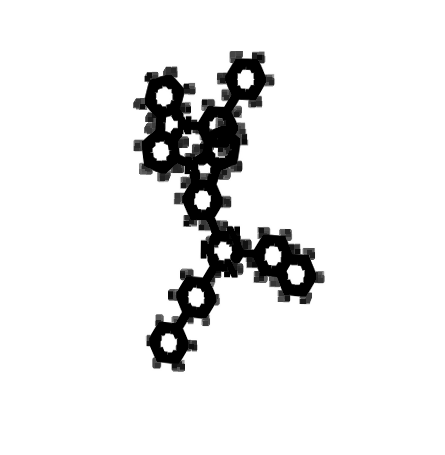 c1ccc(-c2ccc(-c3nc(-c4ccc5ccccc5c4)nc(-c4ccc5c(c4)c4ccccc4n5-c4cccc5c6ccccc6n(-c6cccc(-c7ccccc7)c6)c45)n3)cc2)cc1